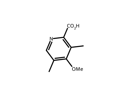 COc1c(C)cnc(C(=O)O)c1C